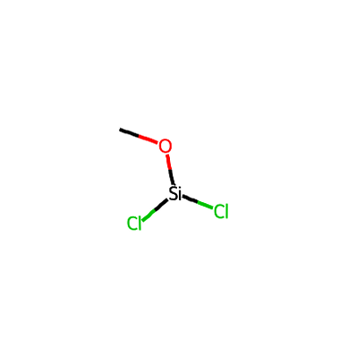 CO[Si](Cl)Cl